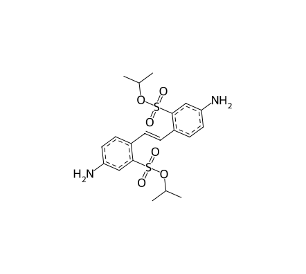 CC(C)OS(=O)(=O)c1cc(N)ccc1/C=C/c1ccc(N)cc1S(=O)(=O)OC(C)C